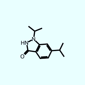 CC(C)c1ccc2c(=O)[nH]n(C(C)C)c2c1